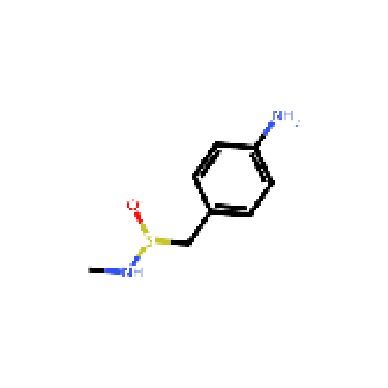 CN[S+]([O-])Cc1ccc(N)cc1